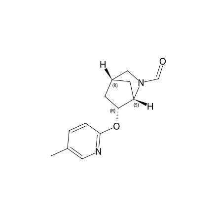 Cc1ccc(O[C@@H]2C[C@H]3C[C@@H]2N(C=O)C3)nc1